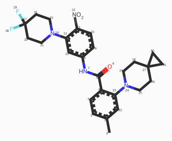 Cc1ccc(C(=O)Nc2ccc([N+](=O)[O-])c(N3CCC(F)(F)CC3)c2)c(N2CCC3(CC2)CC3)c1